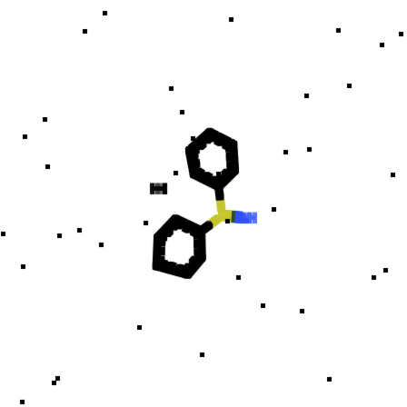 N=S(c1ccccc1)c1ccccc1.[HH]